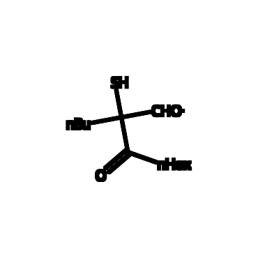 CCCCCCC(=O)C(S)([C]=O)CCCC